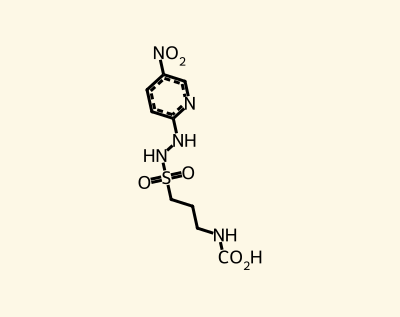 O=C(O)NCCCS(=O)(=O)NNc1ccc([N+](=O)[O-])cn1